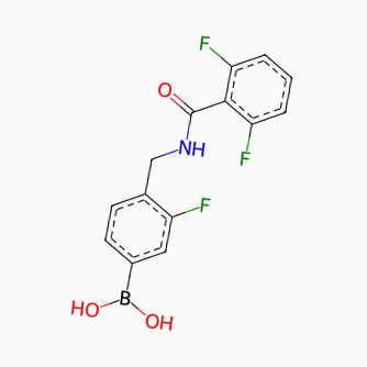 O=C(NCc1ccc(B(O)O)cc1F)c1c(F)cccc1F